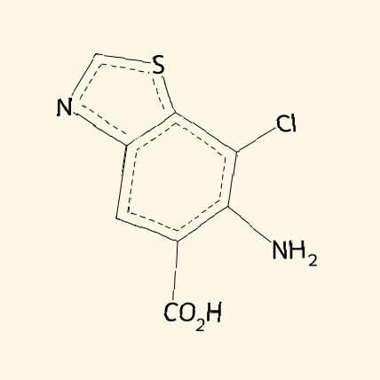 Nc1c(C(=O)O)cc2ncsc2c1Cl